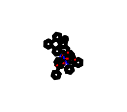 c1ccc(-c2ccc(N(c3ccc4c(c3)C3(c5ccccc5-c5ccccc5-4)c4ccccc4-c4cc5c(cc43)oc3ccccc35)c3cccc4c3N(c3ccccc3)c3ccccc3-c3ccccc3-4)cc2)cc1